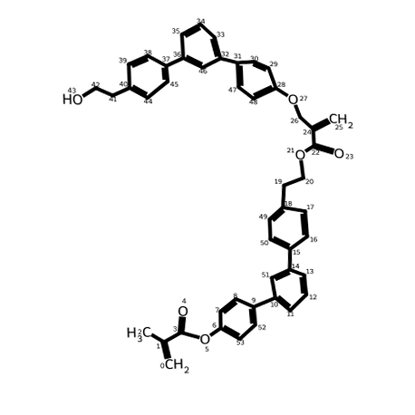 C=C(C)C(=O)Oc1ccc(-c2cccc(-c3ccc(CCOC(=O)C(=C)COc4ccc(-c5cccc(-c6ccc(CCO)cc6)c5)cc4)cc3)c2)cc1